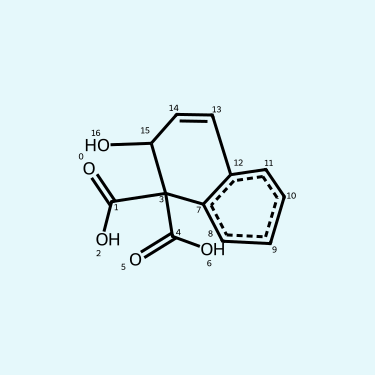 O=C(O)C1(C(=O)O)c2ccccc2C=CC1O